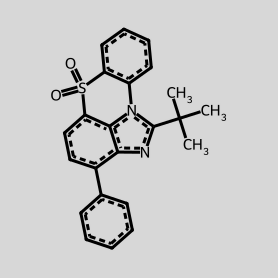 CC(C)(C)c1nc2c(-c3ccccc3)ccc3c2n1-c1ccccc1S3(=O)=O